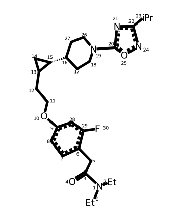 CCN(CC)C(=O)Cc1ccc(OCCC2C[C@@H]2C2CCN(c3nc(C(C)C)no3)CC2)cc1F